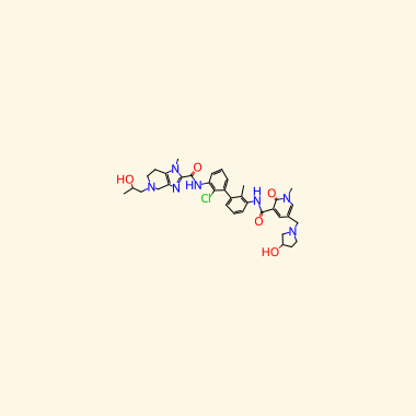 Cc1c(NC(=O)c2cc(CN3CCC(O)C3)cn(C)c2=O)cccc1-c1cccc(NC(=O)c2nc3c(n2C)CCN(CC(C)O)C3)c1Cl